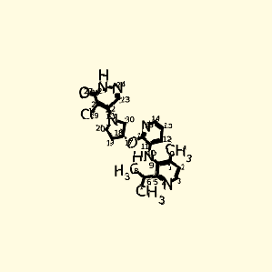 Cc1ccnc(C(C)C)c1Nc1cccnc1O[C@@H]1CCN(c2cn[nH]c(=O)c2Cl)C1